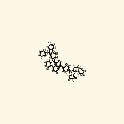 C1=CC2C=Cc3c(c4ccccc4n3-c3ccc(-c4ccc(N(c5ccc6c7ccccc7n(-c7ccccc7)c6c5)c5ccccc5-c5ccccc5)cc4)cc3)C2C=C1